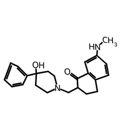 CNc1ccc2c(c1)C(=O)C(CN1CCC(O)(c3ccccc3)CC1)CC2